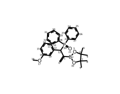 C=C(B1OC(C)(C)C(C)(C)O1)C(c1cccc(OC)c1)P(=O)(c1ccccc1)c1ccccc1